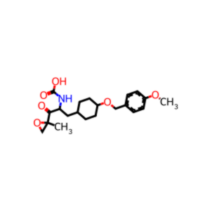 COc1ccc(COC2CCC(CC(NC(=O)O)C(=O)C3(C)CO3)CC2)cc1